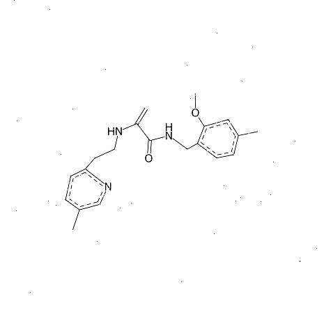 C=C(NCCc1ccc(C)cn1)C(=O)NCc1ccc(C)cc1OC